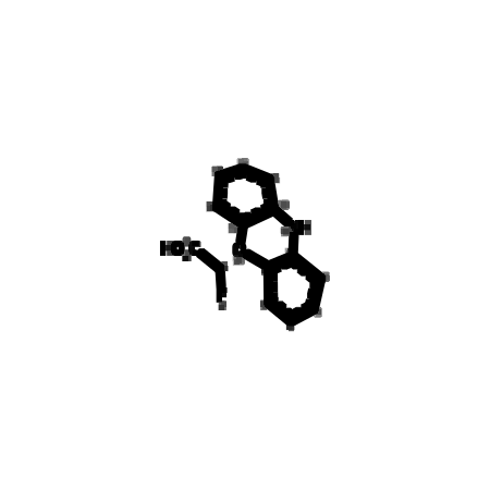 O=C(O)CF.c1ccc2c(c1)Nc1ccccc1O2